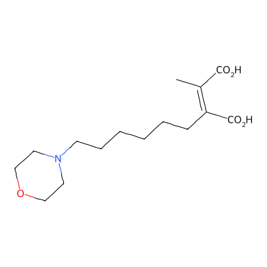 CC(C(=O)O)=C(CCCCCCN1CCOCC1)C(=O)O